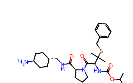 CC(C)OC(=O)N[C@@H](C(=O)N1CCC[C@H]1C(=O)NC[C@H]1CC[C@H](N)CC1)C(C)(C)SCc1ccccc1